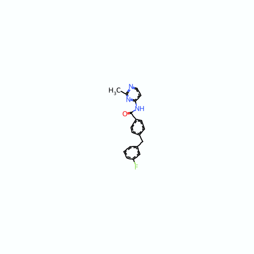 Cc1nccc(NC(=O)c2ccc(Cc3cccc(F)c3)cc2)n1